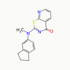 CN(c1ccc2c(c1)CCC2)c1nc(=O)c2cccnc2s1